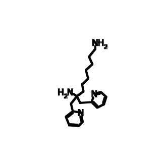 NCCCCCCCC(N)(Cc1ccccn1)Cc1ccccn1